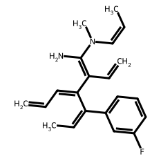 C=C/C=C(C(=C/C)\c1cccc(F)c1)/C(C=C)=C(\N)N(C)/C=C\C